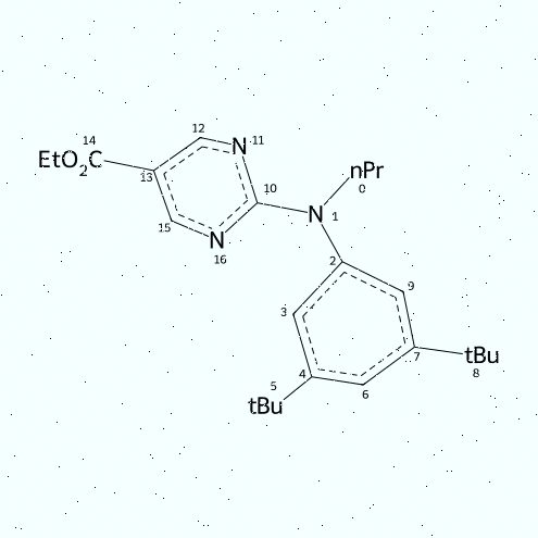 CCCN(c1cc(C(C)(C)C)cc(C(C)(C)C)c1)c1ncc(C(=O)OCC)cn1